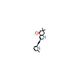 Cc1cccc(C#Cc2cnc3c(c2)C(=O)CC(C)(C)C3)n1